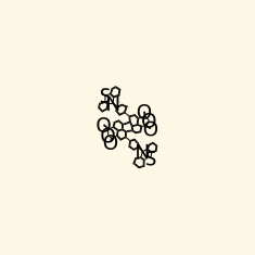 O=C1OC(=O)c2cc(-c3ccc(N4c5ccccc5Sc5ccccc54)cc3)c3c4ccc5c6c(cc(-c7ccc(N8c9ccccc9Sc9ccccc98)cc7)c(c7ccc1c2c73)c64)C(=O)OC5=O